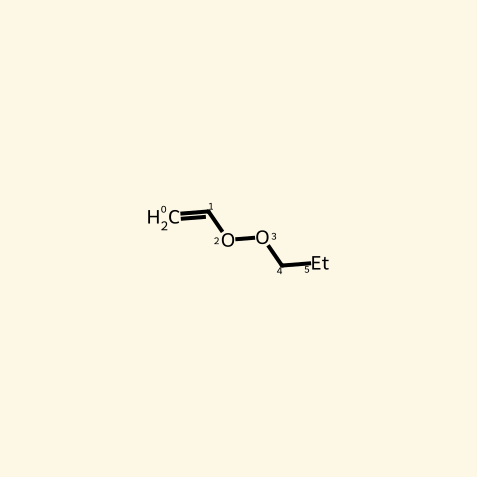 C=COOCCC